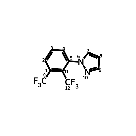 FC(F)(F)c1cccc(-n2cc[c]n2)c1C(F)(F)F